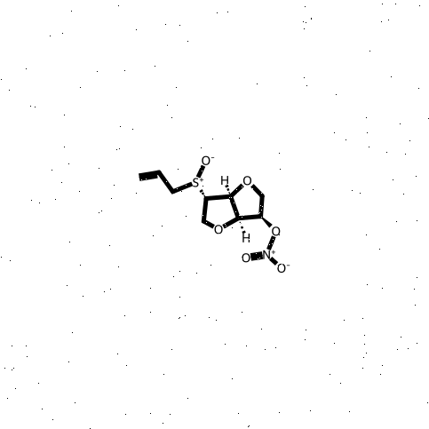 C=CC[S+]([O-])[C@H]1CO[C@H]2[C@@H]1OC[C@H]2O[N+](=O)[O-]